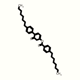 CCCCCCCCc1ccc(C(=S)OC2=CC=C(c3ccc(CCCCCCCC)cc3)C(=S)C2)cc1